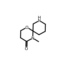 CN1C(=O)CCOC12CCCNC2